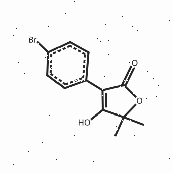 CC1(C)OC(=O)C(c2ccc(Br)cc2)=C1O